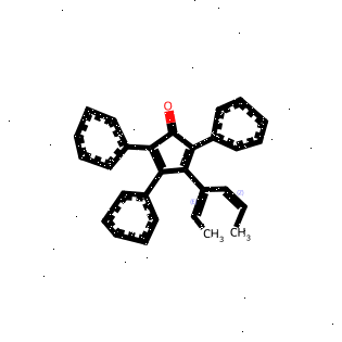 C/C=C\C(=C/C)C1=C(c2ccccc2)C(=O)C(c2ccccc2)=C1c1ccccc1